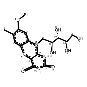 CCOc1cc2c(cc1C)nc1c(=O)[nH]c(=O)nc-1n2C[C@H](O)[C@H](O)[C@H](O)CO